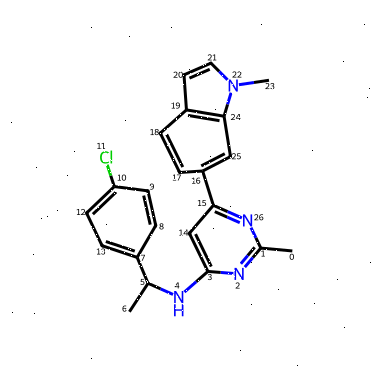 Cc1nc(NC(C)c2ccc(Cl)cc2)cc(-c2ccc3ccn(C)c3c2)n1